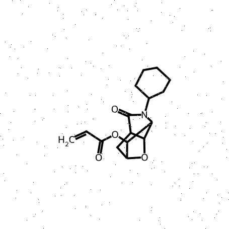 C=CC(=O)OC1C2CC3C(=O)N(C4CCCCC4)C1C3O2